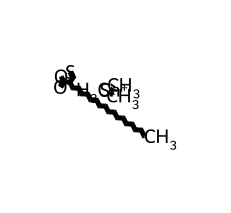 CCCCCCCCCCCCCCCCCCC(C=S)C(=O)[O-].[CH3][Sn+]([CH3])[CH3]